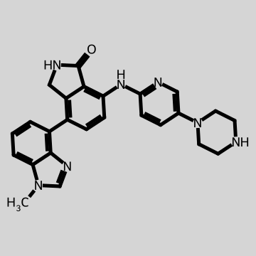 Cn1cnc2c(-c3ccc(Nc4ccc(N5CCNCC5)cn4)c4c3CNC4=O)cccc21